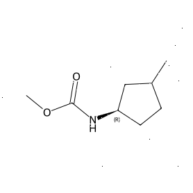 COC(=O)N[C@@H]1CCC(C)C1